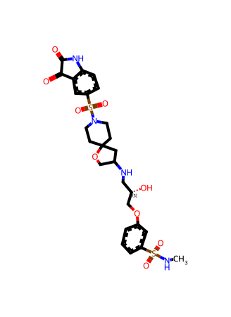 CNS(=O)(=O)c1cccc(OC[C@@H](O)CNC2COC3(CCN(S(=O)(=O)c4ccc5c(c4)C(=O)C(=O)N5)CC3)C2)c1